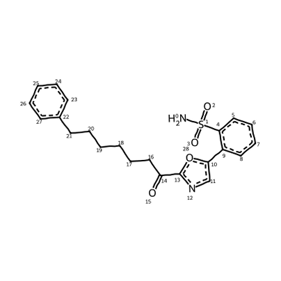 NS(=O)(=O)c1ccccc1-c1cnc(C(=O)CCCCCCc2ccccc2)o1